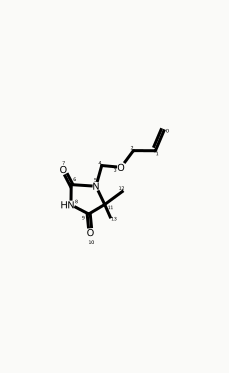 C=CCOCN1C(=O)NC(=O)C1(C)C